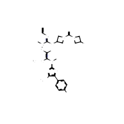 C=C/N=C(/NC1CN(C(=O)N2CC(O)C2)C1)N(C)N/C(CC)=C(\NC)N(C)c1nc(-c2ccc(F)cc2)c(C#N)s1